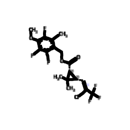 COc1c(F)c(C)c(COC(=O)[C@@H]2[C@H](/C=C(\Cl)C(F)(F)F)C2(C)C)c(F)c1F